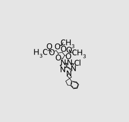 CC(=O)OCC1OC(n2cnc3c(N4CC5(CCc6ccccc65)C4)nc(Cl)nc32)C(OC(C)=O)C1OC(C)=O